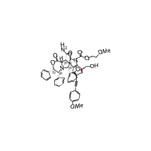 COCCOC(=O)N1C(=O)[C@@]2(c3cc(C#Cc4ccc(OC)cc4)ccc31)[C@H](c1ccccc1OCCO)N1[C@H](c3ccccc3)[C@H](c3ccccc3)OC(=O)[C@H]1[C@@H]2C(N)=O